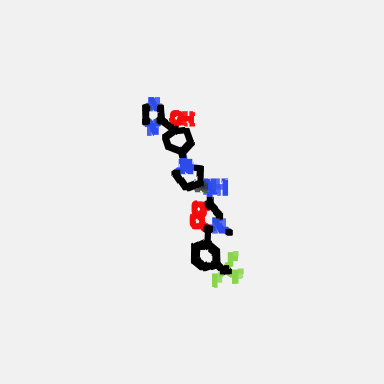 CN(CC(=O)N[C@@H]1CCN(C2CCC(O)(c3cnccn3)CC2)C1)C(=O)c1cccc(C(F)(F)F)c1